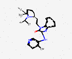 CCCCC(CC)N1[C@H](CCn2c(=O)c(Nc3cnccc3C#N)nc3ccccc32)CCC1(C)C